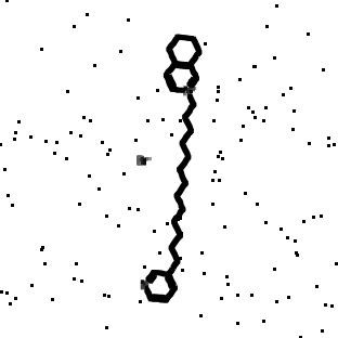 [Br-].c1cncc(CCCCCCCCCCCCC[n+]2ccc3c(c2)CCCC3)c1